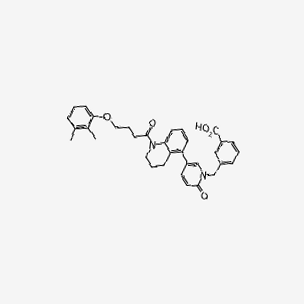 Cc1cccc(OCCCC(=O)N2CCCc3c(-c4ccc(=O)n(Cc5cccc(C(=O)O)c5)c4)cccc32)c1C